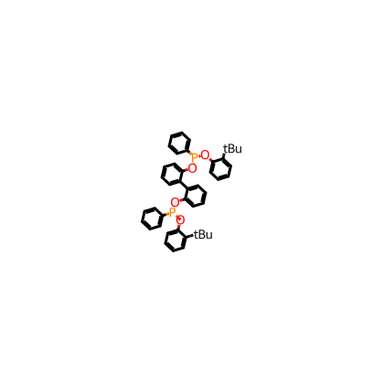 CC(C)(C)c1ccccc1OP(Oc1ccccc1-c1ccccc1OP(Oc1ccccc1C(C)(C)C)c1ccccc1)c1ccccc1